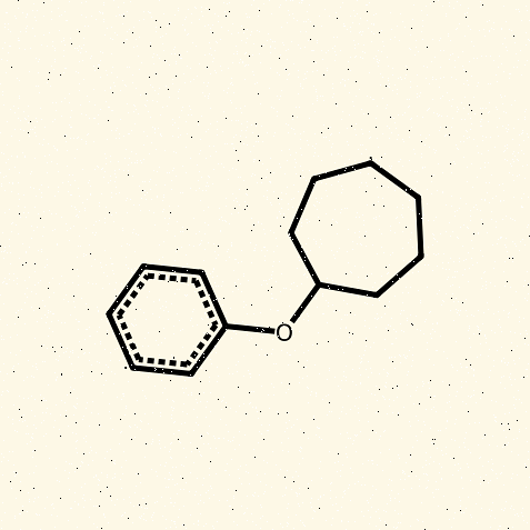 [c]1cccc(OC2CC[CH]CCC2)c1